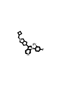 CC(C)c1cc(F)ccc1-n1cc(C2CC3CN(CC4CCC4)CC3C2)c2ccncc21